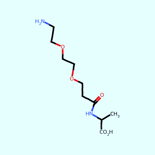 CC(NC(=O)CCOCCOCCN)C(=O)O